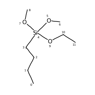 CCC[CH][Si](OC)(OC)OCC